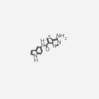 Nc1ncnc2c(C(=O)Nc3ccc4[nH]ccc4c3)csc12